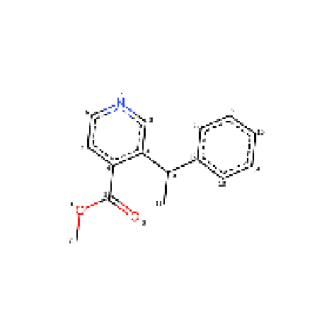 COC(=O)c1ccncc1C(C)c1ccccc1